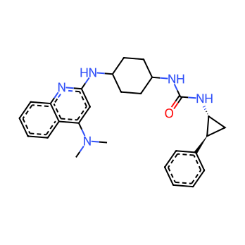 CN(C)c1cc(NC2CCC(NC(=O)N[C@@H]3C[C@H]3c3ccccc3)CC2)nc2ccccc12